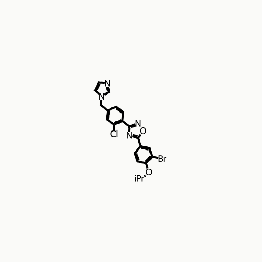 CC(C)Oc1ccc(-c2nc(-c3ccc(Cn4ccnc4)cc3Cl)no2)cc1Br